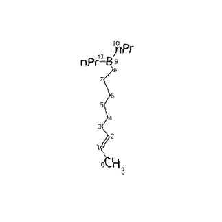 CC=CCCCCCCB(CCC)CCC